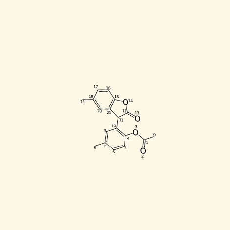 CC(=O)Oc1ccc(C)cc1C1C(=O)Oc2ccc(C)cc21